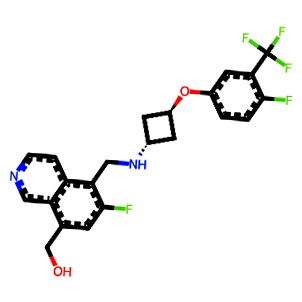 OCc1cc(F)c(CN[C@H]2C[C@H](Oc3ccc(F)c(C(F)(F)F)c3)C2)c2ccncc12